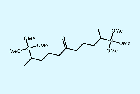 CO[Si](OC)(OC)C(C)CCCC(=O)CCCC(C)[Si](OC)(OC)OC